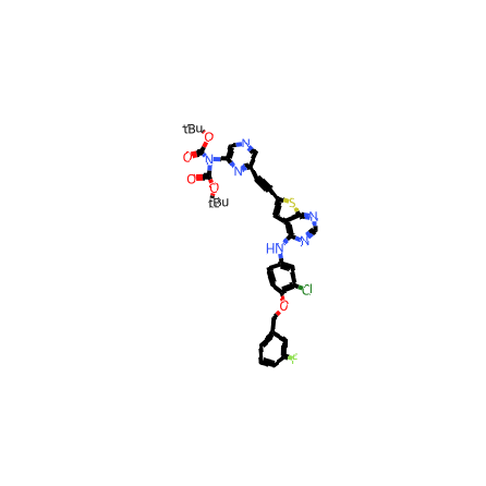 CC(C)(C)OC(=O)N(C(=O)OC(C)(C)C)c1cncc(C#Cc2cc3c(Nc4ccc(OCc5cccc(F)c5)c(Cl)c4)ncnc3s2)n1